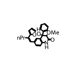 CCCC(=Cc1ccc2c(c1)C(O)(c1ccccc1)C(OC)C(=O)N2)c1ccco1